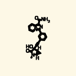 CN1C(=O)[C@](O)(C#Cc2cccc(-c3nc(C(N)=O)c4ccccn34)c2)[C@@H]2C[C@@H]21